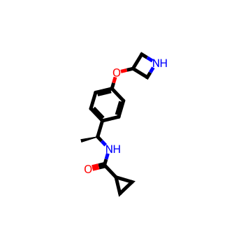 C[C@H](NC(=O)C1CC1)c1ccc(OC2CNC2)cc1